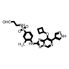 Cc1cc(S(=O)(=O)NCCC=O)ccc1Nc1nc2c(OC3CCC3)c(-c3cn[nH]c3)ncn2n1